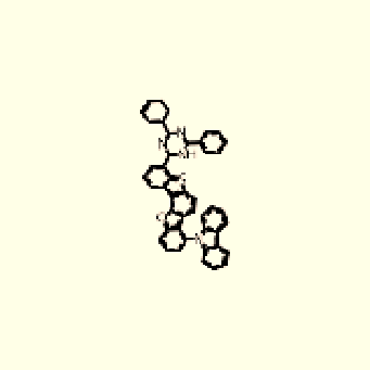 C1=CCCC(C2=NC(c3cccc4c3sc3ccc5c(oc6cccc(-n7c8ccccc8c8ccccc87)c65)c34)NC(c3ccccc3)=N2)=C1